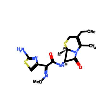 CON=C(C(=O)N[C@@H]1C(=O)N2C(C)=C(COC(C)=O)CS[C@H]12)c1csc(N)n1